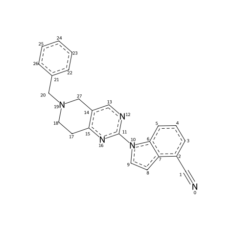 N#Cc1cccc2c1ccn2-c1ncc2c(n1)CCN(Cc1ccccc1)C2